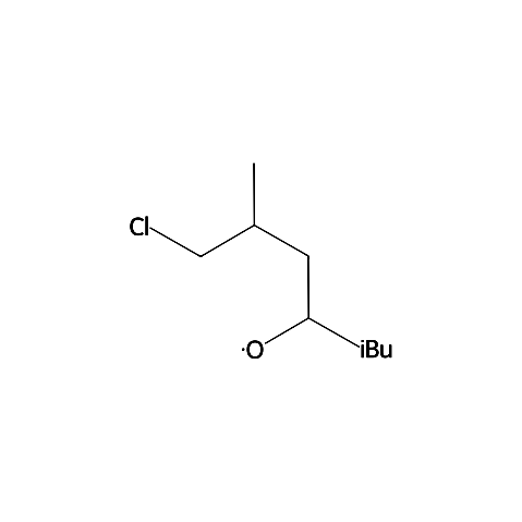 CCC(C)C([O])CC(C)CCl